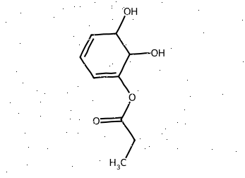 CCC(=O)OC1=CC=CC(O)C1O